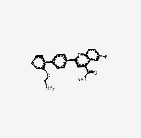 CCOc1ccccc1-c1ccc(-c2cc(C(=O)O)c3cc(F)ccc3n2)cc1